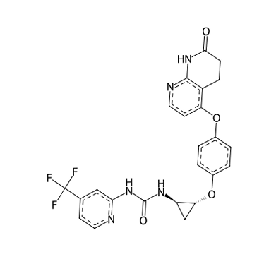 O=C1CCc2c(Oc3ccc(O[C@@H]4C[C@H]4NC(=O)Nc4cc(C(F)(F)F)ccn4)cc3)ccnc2N1